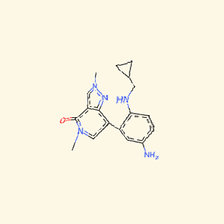 Cn1cc2c(=O)n(C)cc(-c3cc(N)ccc3NCC3CC3)c2n1